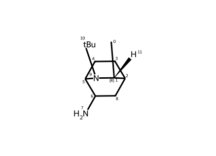 C[C@@H]1C2CCC(C(N)C2)N1C(C)(C)C